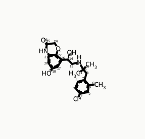 Cc1cc(Cl)ccc1CC(C)(C)NC[C@H](O)c1cc(O)cc2c1OCC(=O)N2